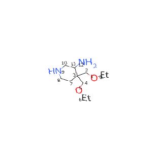 CCOCC1(COCC)CCNCC1N